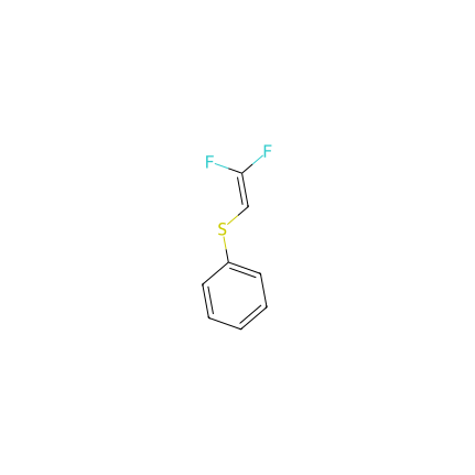 FC(F)=CSc1ccccc1